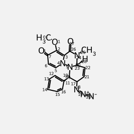 COc1c2n(ccc1=O)N1[C@H](c3ccccc3)C(N=[N+]=[N-])C=C[C@H]1N(C)C2=O